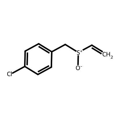 C=C[S+]([O-])Cc1ccc(Cl)cc1